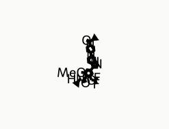 COc1cc(-c2cnn3cc(N4CCN(C(=O)C5CC5)CC4)ccc23)cc(OC(F)F)c1C(=O)NC1CC1